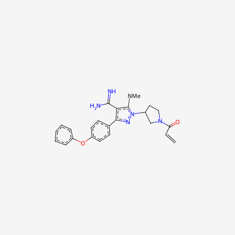 C=CC(=O)N1CCC(n2nc(-c3ccc(Oc4ccccc4)cc3)c(C(=N)N)c2NC)C1